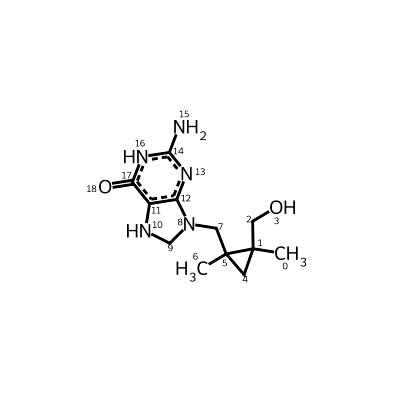 CC1(CO)CC1(C)CN1CNc2c1nc(N)[nH]c2=O